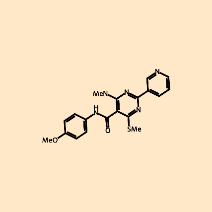 CNc1nc(-c2cccnc2)nc(SC)c1C(=O)Nc1ccc(OC)cc1